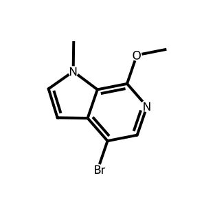 COc1ncc(Br)c2ccn(C)c12